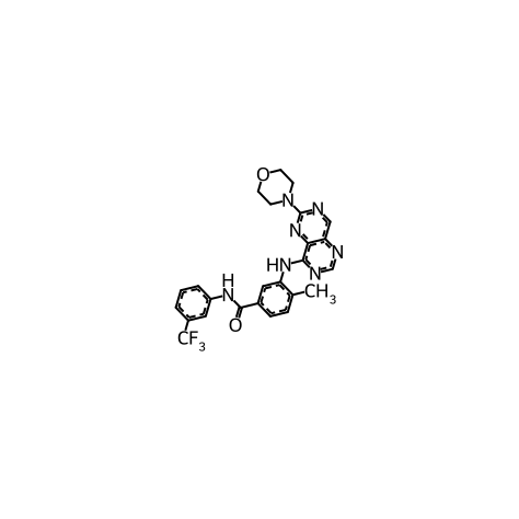 Cc1ccc(C(=O)Nc2cccc(C(F)(F)F)c2)cc1Nc1ncnc2cnc(N3CCOCC3)nc12